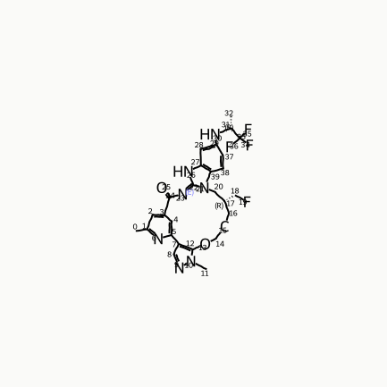 Cc1cc2cc(n1)-c1cnn(C)c1OCCC[C@@H](CF)CN1/C(=N/C2=O)Nc2cc(N[C@H](C)C(F)(F)F)ccc21